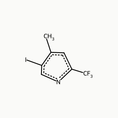 Cc1cc(C(F)(F)F)ncc1I